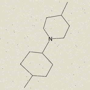 CC1CCC(N2CCC(C)CC2)CC1